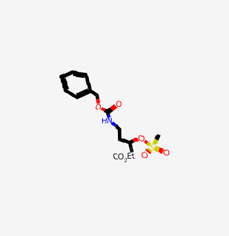 CCOC(=O)C(CCNC(=O)OCc1ccccc1)OS(C)(=O)=O